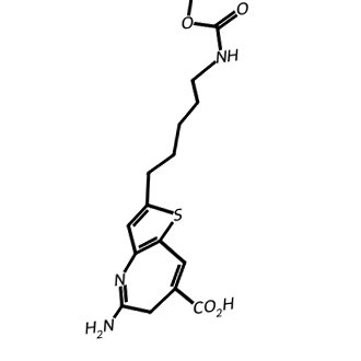 CC(C)(C)OC(=O)NCCCCCc1cc2c(s1)C=C(C(=O)O)CC(N)=N2